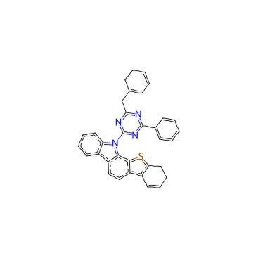 C1=C=C(c2nc(CC3=CC=CCC3)nc(-n3c4ccccc4c4ccc5c6c(sc5c43)CCC=C6)n2)C=CC=1